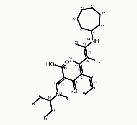 C\C=C/C(C(=O)/C(=C\N(C)C(CC)CC)C(=O)O)=C(C)\C(F)=C(/C)NC1CCCCCC1